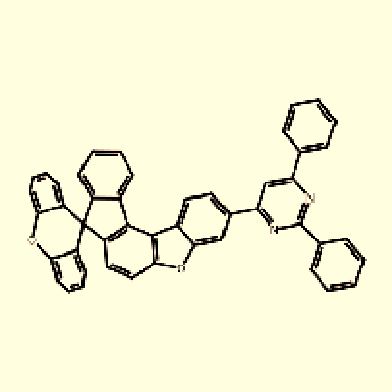 c1ccc(-c2cc(-c3ccc4c(c3)oc3ccc5c(c34)-c3ccccc3C53c4ccccc4Oc4ccccc43)nc(-c3ccccc3)n2)cc1